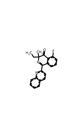 CCC1(C)N=C(c2ccc3ccccc3n2)c2cccc(F)c2C1=O